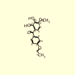 CCOc1ccc(C(=O)c2ccc(OC)c(O)c2O)cc1